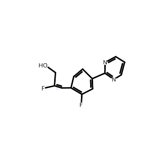 OC/C(F)=C\c1ccc(-c2ncccn2)cc1F